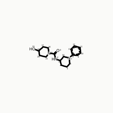 O=C(NC1CCCN(c2ccccc2)C1)N1CCC(O)CC1